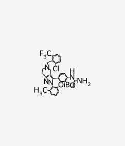 Cc1cccc(OCC(C)C)c1-n1nc2c(c1-c1ccc(NC(N)=O)cc1)CN(Cc1c(Cl)cccc1C(F)(F)F)CC2